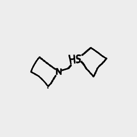 [CH]1CCN1[SH]1CCC1